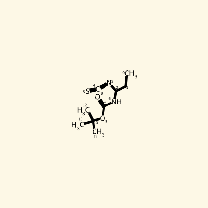 CCC(N=C=S)NC(=O)OC(C)(C)C